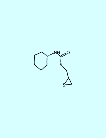 O=C(NN1CCCCC1)SCC1CS1